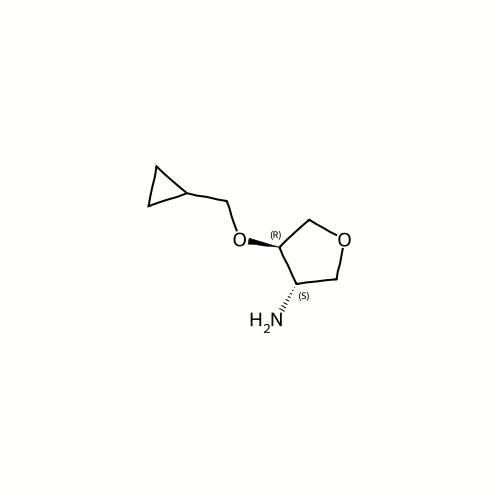 N[C@H]1COC[C@@H]1OCC1CC1